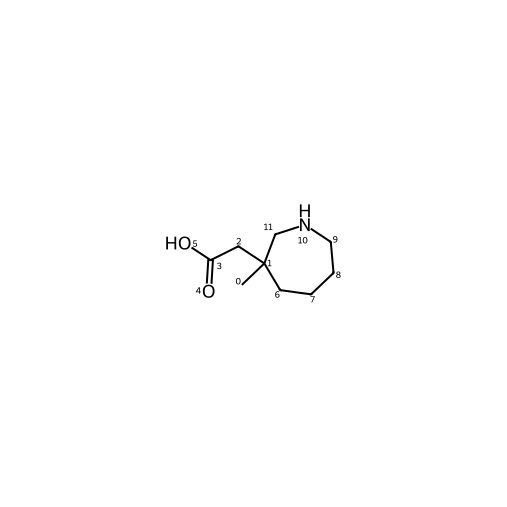 CC1(CC(=O)O)CCCCNC1